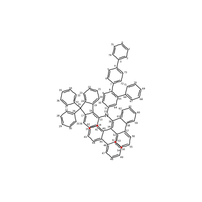 c1ccc(-c2ccc(-c3ccc(N(c4cccc5c4-c4ccccc4C5(c4ccccc4)c4ccccc4)c4c(-c5ccccc5-c5ccccc5)c5ccccc5c5ccccc45)cc3-c3ccccc3)cc2)cc1